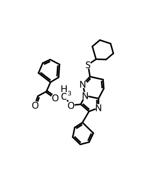 COc1c(-c2ccccc2)nc2ccc(SC3CCCCC3)nn12.O=CC(=O)c1ccccc1